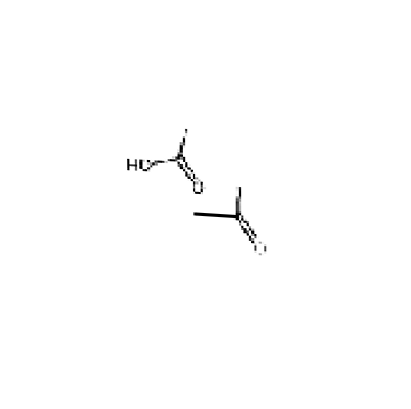 CC(=O)O.CC(C)=O